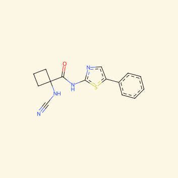 N#CNC1(C(=O)Nc2ncc(-c3ccccc3)s2)CCC1